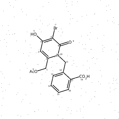 CC(=O)OCc1cc(O)c(Br)c(=O)n1Cc1ccccc1C(=O)O